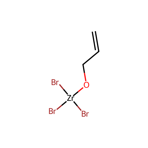 C=CC[O][Zr]([Br])([Br])[Br]